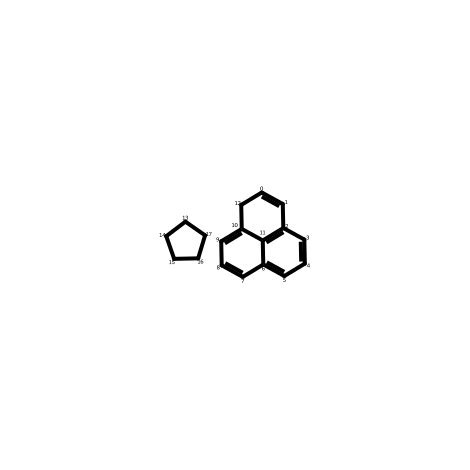 C1=Cc2cccc3cccc(c23)C1.C1CCCC1